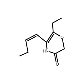 CC/C=C\C1=C(CC)OCC(=O)N1